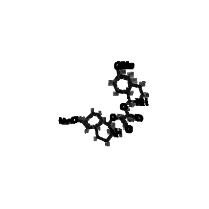 COc1ccc2c(c1)CCNC2OC(=O)C(=O)OC1NCCc2cc(OC)ccc21